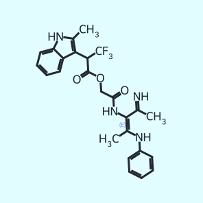 CC(=N)/C(NC(=O)COC(=O)C(c1c(C)[nH]c2ccccc12)C(F)(F)F)=C(/C)Nc1ccccc1